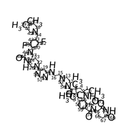 CCC(C)(CC(C)(CC)C(=O)N1CCN(CCNc2cc(N3CCC4(CC3)CN(c3cc(F)c(CN5CCC(C)(C)CC5)cc3F)CC(=O)N4)ncn2)CC1)Nc1cccc2c1C(=O)N(C1CCC(=O)NC1=O)C2=O